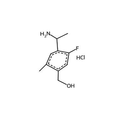 Cc1cc(C(C)N)c(F)cc1CO.Cl